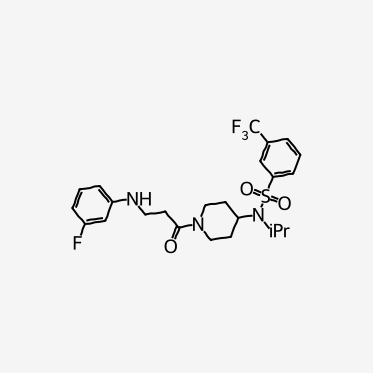 CC(C)N(C1CCN(C(=O)CCNc2cccc(F)c2)CC1)S(=O)(=O)c1cccc(C(F)(F)F)c1